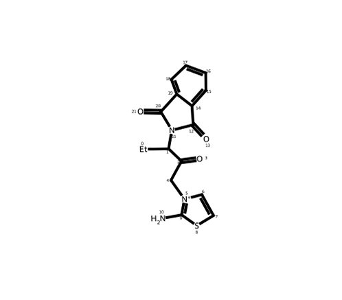 CCC(C(=O)C[n+]1ccsc1N)N1C(=O)c2ccccc2C1=O